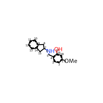 COc1ccc(CNC2Cc3ccccc3C2)c(O)c1